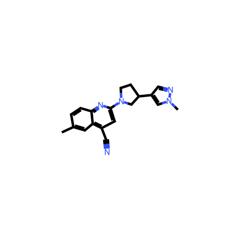 Cc1ccc2nc(N3CCC(c4cnn(C)c4)C3)cc(C#N)c2c1